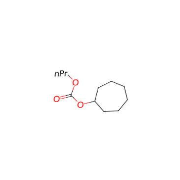 CCCOC(=O)OC1CCCCCC1